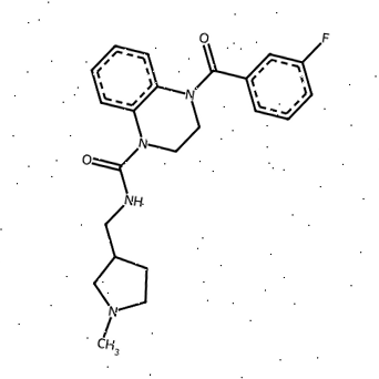 CN1CCC(CNC(=O)N2CCN(C(=O)c3cccc(F)c3)c3ccccc32)C1